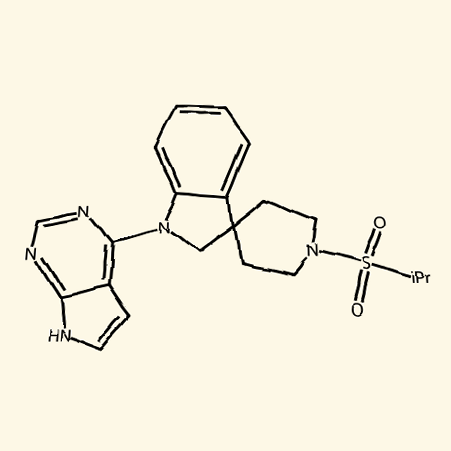 CC(C)S(=O)(=O)N1CCC2(CC1)CN(c1ncnc3[nH]ccc13)c1ccccc12